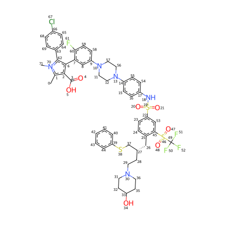 Cc1c(C(=O)O)c(-c2cc(N3CCN(c4ccc(NS(=O)(=O)c5ccc(C[C@H](CCN6CCC(O)CC6)CSc6ccccc6)c(S(=O)(=O)C(F)(F)F)c5)cc4)CC3)ccc2F)c(-c2ccc(Cl)cc2)n1C